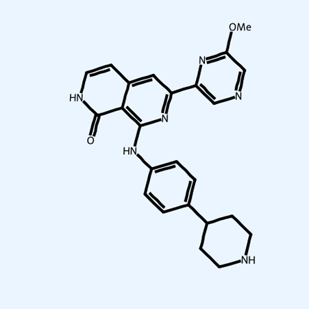 COc1cncc(-c2cc3cc[nH]c(=O)c3c(Nc3ccc(C4CCNCC4)cc3)n2)n1